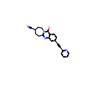 N#CC1CCc2nc3cc(C#Cc4ccccn4)ccc3c(=O)n2CC1